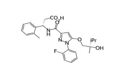 Cc1ccccc1[C@H](CC(=O)O)NC(=O)c1cc(OC[C@](C)(O)C(C)C)n(-c2ccccc2F)n1